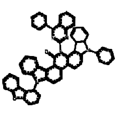 O=c1c2c(ccc3c2c2ccccc2n3-c2cccc3oc4ccccc4c23)c2ccc3c(c2n1-c1nc(-c2ccccc2)c2ccccc2n1)C1C=CC=CC1N3c1ccccc1